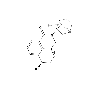 O=C1c2cccc3c2[C@@H](CC[C@H]3O)CN1[C@@H]1CN2CCC1CC2